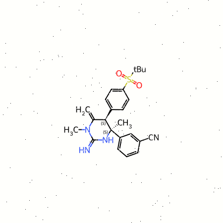 C=C1[C@@H](c2ccc(S(=O)(=O)C(C)(C)C)cc2)[C@@](C)(c2cccc(C#N)c2)NC(=N)N1C